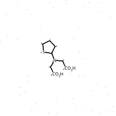 O=C(O)CN(CC(=O)O)C1CCCS1